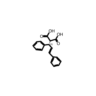 O=C(O)C(C(=O)O)[C@H](C=Cc1ccccc1)c1ccccc1